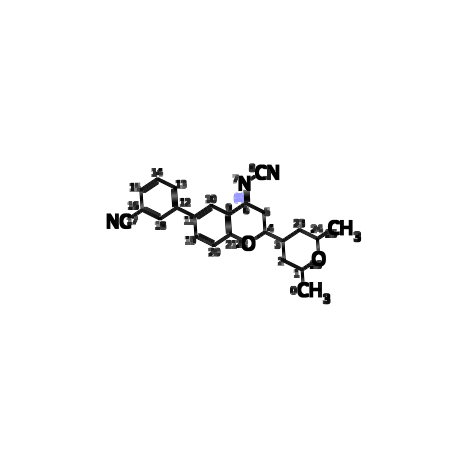 CC1CC(C2C/C(=N\C#N)c3cc(-c4cccc(C#N)c4)ccc3O2)CC(C)O1